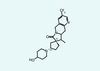 CC1C2Cc3ncc(C(F)(F)F)cc3CN2C(=O)[C@]12CC[C@H](N1CCC(O)CC1)C2